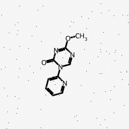 COc1ncn(-c2ccccn2)c(=O)n1